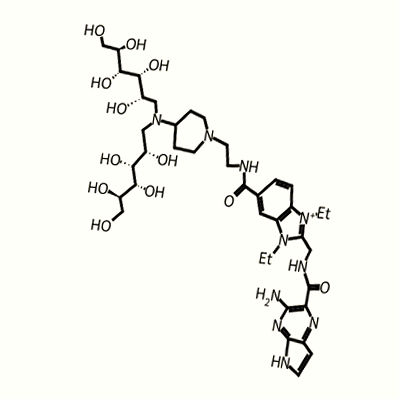 CCn1c(CNC(=O)c2nc3cc[nH]c3nc2N)[n+](CC)c2ccc(C(=O)NCCN3CCC(N(C[C@H](O)[C@@H](O)[C@H](O)[C@H](O)CO)C[C@H](O)[C@@H](O)[C@H](O)[C@H](O)CO)CC3)cc21